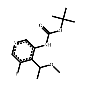 COC(C)c1c(F)cncc1NC(=O)OC(C)(C)C